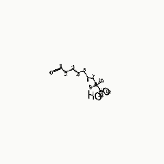 C=CCCCCCCC(C)(C)C(=O)O